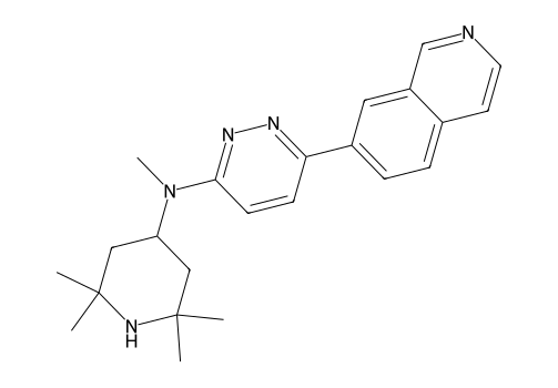 CN(c1ccc(-c2ccc3ccncc3c2)nn1)C1CC(C)(C)NC(C)(C)C1